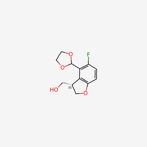 OC[C@H]1COc2ccc(F)c(C3OCCO3)c21